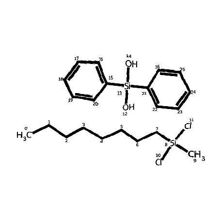 CCCCCCCC[Si](C)(Cl)Cl.O[Si](O)(c1ccccc1)c1ccccc1